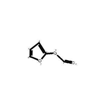 O=[C]Oc1ccco1